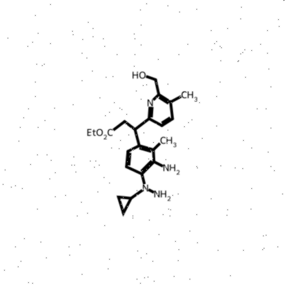 CCOC(=O)CC(c1ccc(C)c(CO)n1)c1ccc(N(N)C2CC2)c(N)c1C